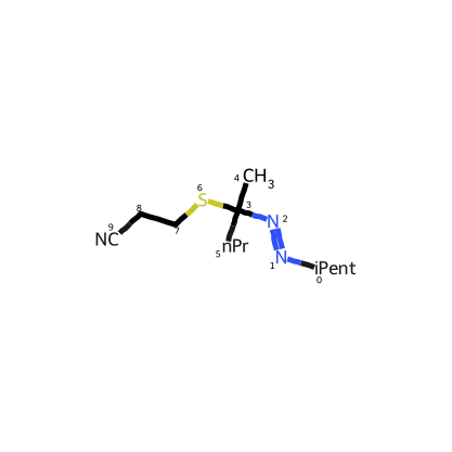 CCCC(C)/N=N/C(C)(CCC)SCCC#N